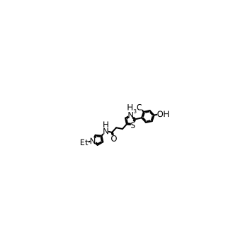 CCn1ccc(NC(=O)CCc2cnc(-c3ccc(O)cc3C)s2)c1